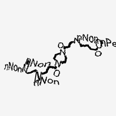 CCCCCCCCCN(CCCC(=O)OCCCCC)CCC(=O)N1CCN(C(=O)CCN(CCCCCCCCC)CCN(CCCCCCCCC)CCCCCCCCC)CC1